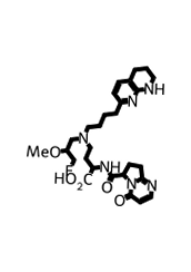 COC(CF)CN(CCCCc1ccc2c(n1)NCCC2)CCC(NC(=O)C1CCc2nccc(=O)n21)C(=O)O